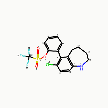 O=S(=O)(Oc1ccccc1-c1c(Cl)ccc2c1CCCCN2)C(F)(F)F